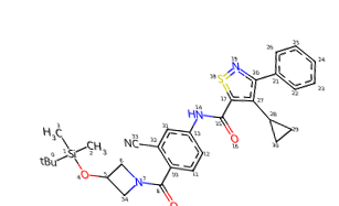 CC(C)(C)[Si](C)(C)OC1CN(C(=O)c2ccc(NC(=O)c3snc(-c4ccccc4)c3C3CC3)cc2C#N)C1